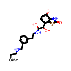 COCCNCc1cccc(CCNC(O)C(O)c2ccc(O)c3[nH]c(=O)sc23)c1